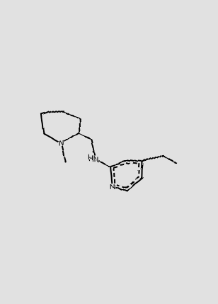 CCc1ccnc(NCC2CCCCN2C)c1